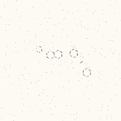 Cn1cc(-c2cnc3ccc(Oc4ccc(NC(=O)Nc5cccc(F)c5)cc4F)cc3n2)cn1